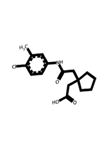 Cc1cc(NC(=O)CC2(CC(=O)O)CCCC2)ccc1Cl